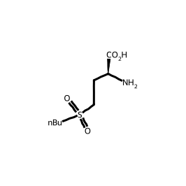 CCCCS(=O)(=O)CC[C@H](N)C(=O)O